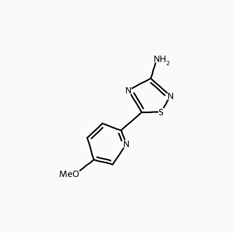 COc1ccc(-c2nc(N)ns2)nc1